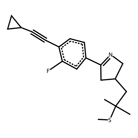 CSC(C)(C)CC1CN=C(c2ccc(C#CC3CC3)c(F)c2)C1